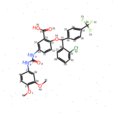 COc1ccc(NC(=O)Nc2ccc(OC(c3ccc(C(F)(F)F)cc3)c3ccccc3Cl)c(C(=O)O)c2)cc1OC